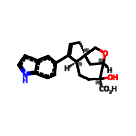 O=C(O)[C@@]1(O)CC[C@H]2C(c3ccc4[nH]ccc4c3)=CC[C@@]23CO[C@H]1C3